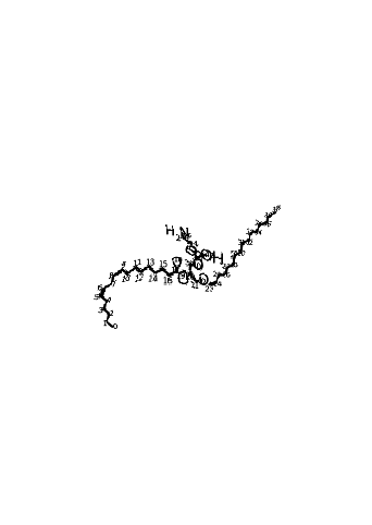 CCCCC/C=C\C/C=C\CCCCCCCC(=O)OC(CO/C=C\CCCCCCCCCCCCCC)COP(O)OCCN